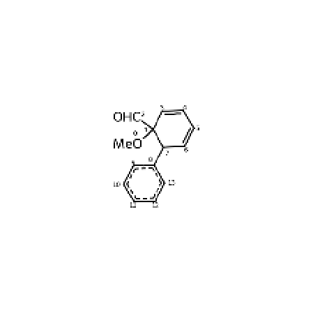 COC1(C=O)C=CC=CC1c1ccccc1